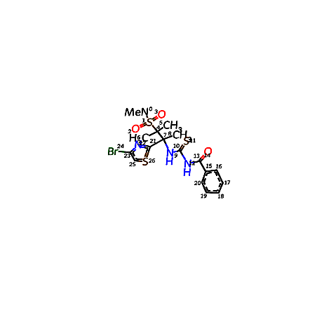 CNS(=O)(=O)C(C)(C)C(C)(NC(=S)NC(=O)c1ccccc1)c1nc(Br)cs1